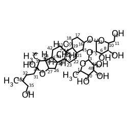 CC1O[C@@H](O[C@H]2C(O)[C@H](O)C(CO)O[C@H]2OC2CC[C@@]3(C)C(=CC[C@H]4[C@@H]5CC6OC(O)(CC[C@@H](C)CO)[C@@H](C)[C@@H]6[C@@]5(C)CC[C@@H]43)C2)[C@@H](O)C(O)[C@H]1O